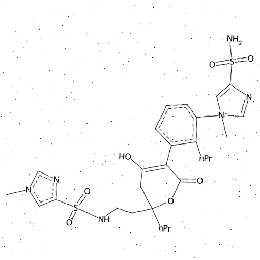 CCCc1c(C2=C(O)CC(CCC)(CCNS(=O)(=O)c3cn(C)cn3)OC2=O)cccc1[N+]1(C)C=NC(S(N)(=O)=O)=C1